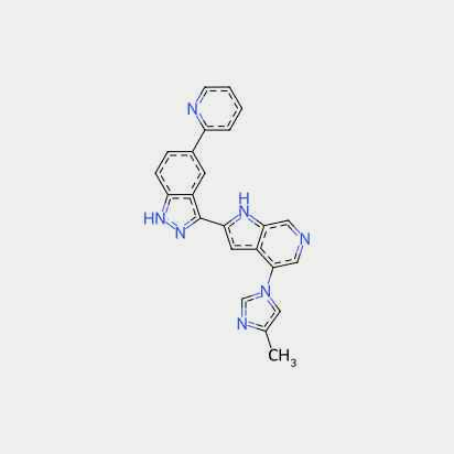 Cc1cn(-c2cncc3[nH]c(-c4n[nH]c5ccc(-c6ccccn6)cc45)cc23)cn1